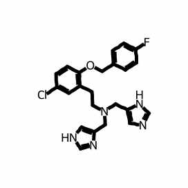 Fc1ccc(COc2ccc(Cl)cc2CCN(Cc2c[nH]cn2)Cc2cnc[nH]2)cc1